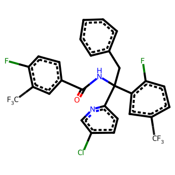 O=C(NC(Cc1ccccc1)(c1ccc(Cl)cn1)c1cc(C(F)(F)F)ccc1F)c1ccc(F)c(C(F)(F)F)c1